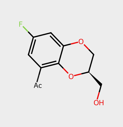 CC(=O)c1cc(F)cc2c1O[C@H](CO)CO2